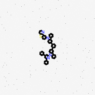 c1ccc(-c2cc(-c3ccccc3)nc(-n3c4ccccc4c4cc(-c5cccc(-c6ccc7c(c6)c6ccccc6n7-c6ccc7sc8cccnc8c7c6)c5)ccc43)c2)cc1